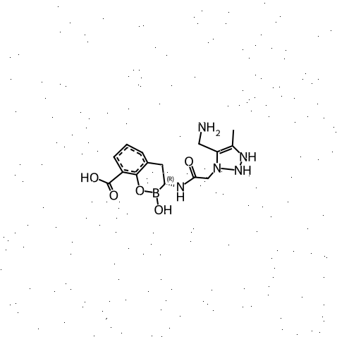 CC1=C(CN)N(CC(=O)N[C@H]2Cc3cccc(C(=O)O)c3OB2O)NN1